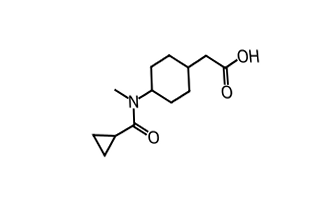 CN(C(=O)C1CC1)C1CCC(CC(=O)O)CC1